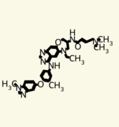 CCN1CC(NC(=O)/C=C/CN(C)C)COc2cc3ncnc(Nc4ccc(Oc5ccc6c(c5)ncn6C)c(C)c4)c3cc21